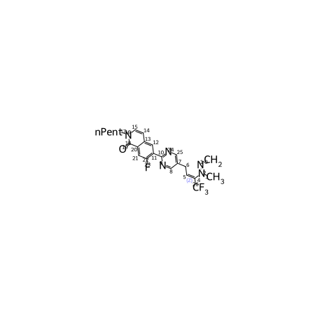 C=NN(C)/C(=C\Cc1cnc(-c2cc3ccn(CCCCC)c(=O)c3cc2F)nc1)C(F)(F)F